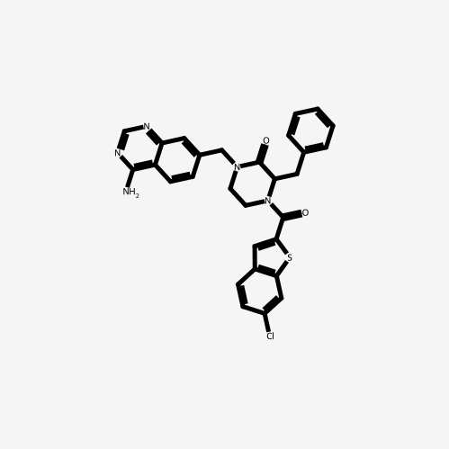 Nc1ncnc2cc(CN3CCN(C(=O)c4cc5ccc(Cl)cc5s4)C(Cc4ccccc4)C3=O)ccc12